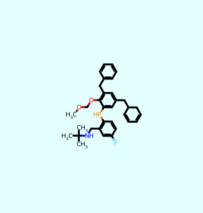 COCOc1c(Cc2ccccc2)cc(CC2C=CC=CC2)cc1Pc1ccc(F)cc1CNC(C)(C)C